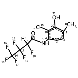 Cc1ccc(NC(=O)C(F)(F)C(F)(F)C(F)(F)F)c(Cl)c1O